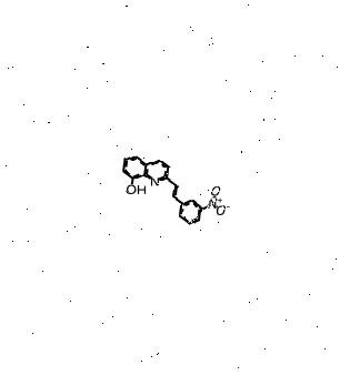 O=[N+]([O-])c1cccc(C=Cc2ccc3cccc(O)c3n2)c1